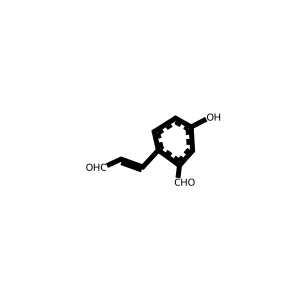 O=CC=Cc1ccc(O)cc1C=O